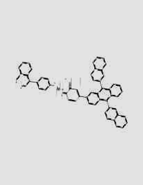 N=C1C=C(c2ccc3c(-c4ccc5ccccc5c4)c4ccccc4c(-c4ccc5ccccc5c4)c3c2)C=C/C1=N/Nc1ccc(-c2cncc3ccccc23)cc1